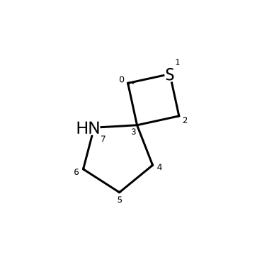 [CH]1SCC12CCCN2